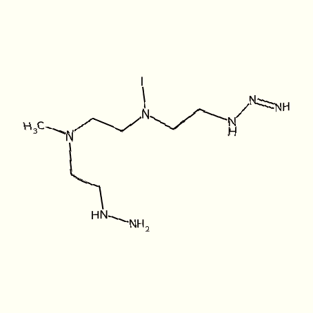 CN(CCNN)CCN(I)CCNN=N